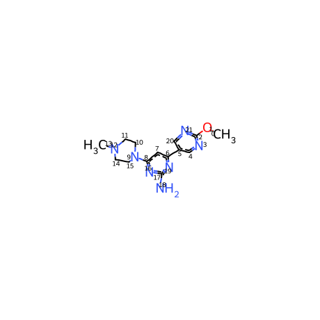 COc1ncc(-c2cc(N3CCN(C)CC3)nc(N)n2)cn1